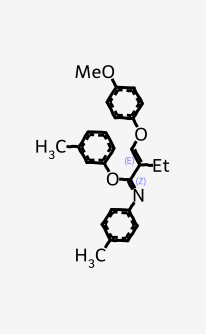 CCC(=C\Oc1ccc(OC)cc1)/C(=N/c1ccc(C)cc1)Oc1cccc(C)c1